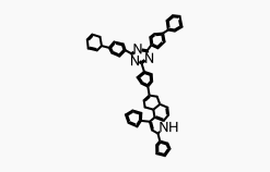 C1=CCC(c2ccc(-c3nc(-c4ccc(C5=CCC6C7=C(C=CC6C5)NC(c5ccccc5)C=C7c5ccccc5)cc4)nc(-c4ccc(-c5ccccc5)cc4)n3)cc2)C=C1